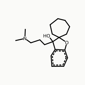 CN(C)CCCC1(O)c2ccccc2OC12CCCCCC2